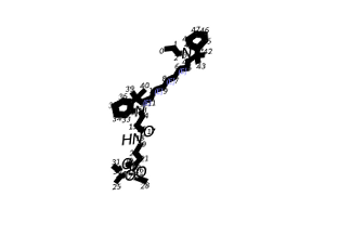 CCC[N+]1=C(/C=C/C=C/C=C/C=C2/N(CCC(=O)NCCC[Si](OCC)(OCC)OCC)c3ccccc3C2(C)C)C(C)(C)c2ccccc21